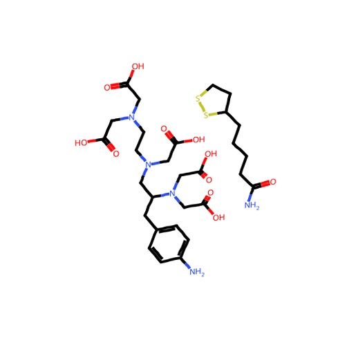 NC(=O)CCCCC1CCSS1.Nc1ccc(CC(CN(CCN(CC(=O)O)CC(=O)O)CC(=O)O)N(CC(=O)O)CC(=O)O)cc1